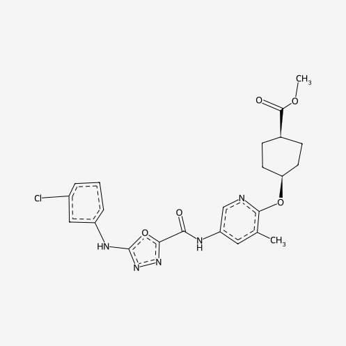 COC(=O)[C@H]1CC[C@@H](Oc2ncc(NC(=O)c3nnc(Nc4cccc(Cl)c4)o3)cc2C)CC1